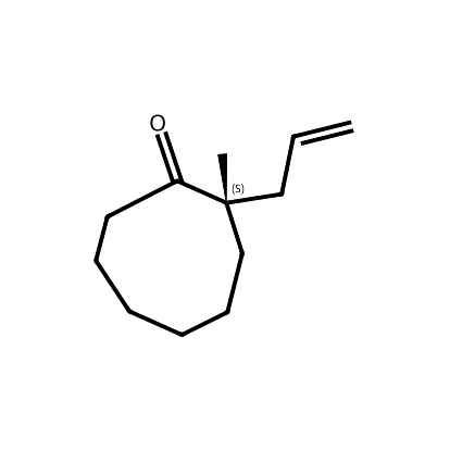 C=CC[C@]1(C)CCCCCCC1=O